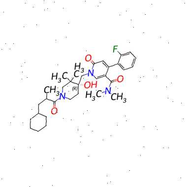 CC(CC1CCCCC1)C(=O)N1CC[C@](O)(Cn2cc(C(=O)N(C)C)c(-c3ccccc3F)cc2=O)C(C)(C)C1